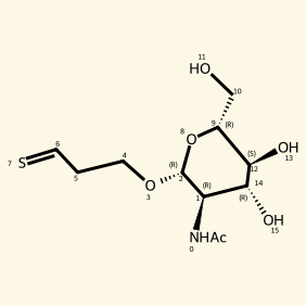 CC(=O)N[C@H]1[C@H](OCCC=S)O[C@H](CO)[C@@H](O)[C@@H]1O